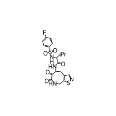 CC(C)C(NS(=O)(=O)c1ccc(F)cc1)C(=O)NC1Cc2cnsc2CNC(=O)C1=O